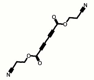 N#CCCOC(=O)C#CC#CC(=O)OCCC#N